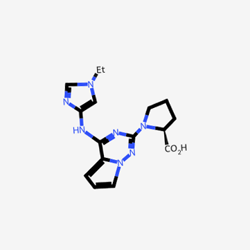 CCn1cnc(Nc2nc(N3CCC[C@H]3C(=O)O)nn3cccc23)c1